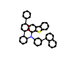 c1ccc(-c2ccc(-c3ccccc3N(c3cccc(-c4cccc5ccccc45)c3)c3cccc4c3sc3ccccc34)cc2)cc1